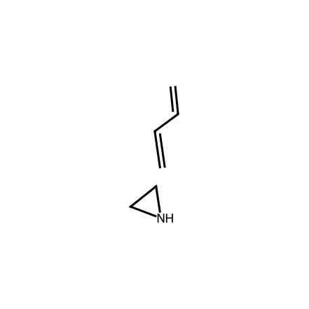 C1CN1.C=CC=C